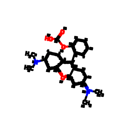 CN(C)c1ccc2c(-c3ccccc3OC(=O)O)c3ccc(=[N+](C)C)cc-3oc2c1